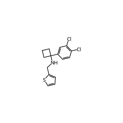 Clc1ccc(C2(NCc3cccs3)CCC2)cc1Cl